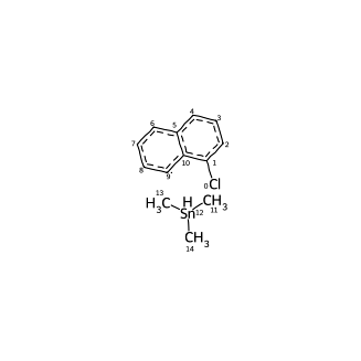 Clc1cccc2ccc[c]c12.[CH3][SnH]([CH3])[CH3]